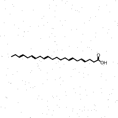 CCC=CCC=CCC=CCCCCC=CCC=CCCC(=O)O